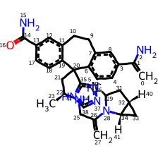 C=C(N)c1ccc2c(c1)CCc1cc(C(N)=O)ccc1C2(C[C@H](C)NCC(=C)N1C(C#N)C[C@@H]2C[C@@H]21)c1nnc[nH]1